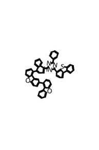 c1ccc(C2=NC(c3ccc(-c4cccc5oc6ccc(-c7cccc8oc9ccccc9c78)cc6c45)c4ccccc34)NC(c3cccc4c3sc3ccccc34)=N2)cc1